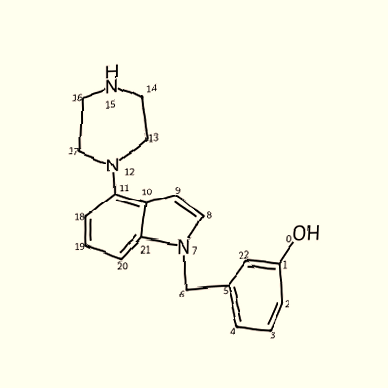 Oc1cccc(Cn2ccc3c(N4CCNCC4)cccc32)c1